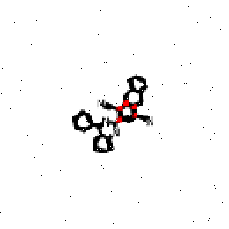 N#Cc1cccc2c1C1c3ccccc3C2c2c1ccc(-c1nc(-c3ccccc3)c3ccccc3n1)c2C#N